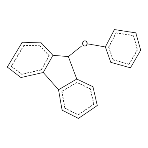 c1ccc(OC2c3ccccc3-c3ccccc32)cc1